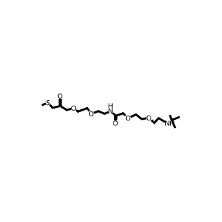 CSCC(=O)COCCOCCNC(=O)COCCOCCNC(C)(C)C